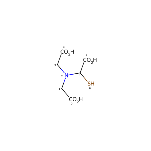 O=C(O)CN(CC(=O)O)C(S)C(=O)O